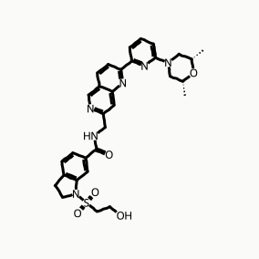 C[C@@H]1CN(c2cccc(-c3ccc4cnc(CNC(=O)c5ccc6c(c5)N(S(=O)(=O)CCO)CC6)cc4n3)n2)C[C@H](C)O1